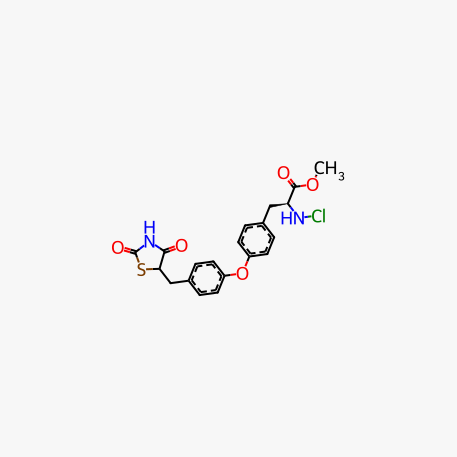 COC(=O)[C@H](Cc1ccc(Oc2ccc(CC3SC(=O)NC3=O)cc2)cc1)NCl